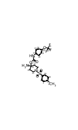 Cc1ccc(S(=O)(=O)N2CCC(N)(OC(=O)Nc3ccc(OC(F)(F)F)cc3)CC2)cc1